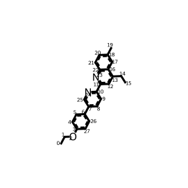 CCOc1ccc(-c2ccc(-c3cc(CC)c4cc(C)ccc4n3)nc2)cc1